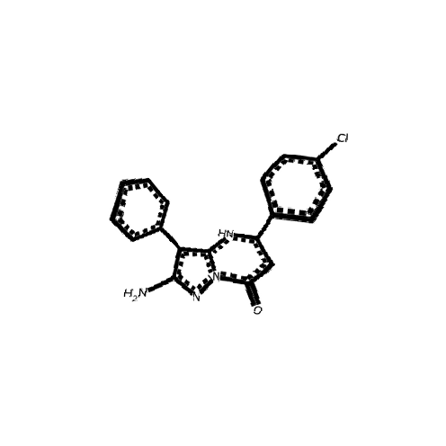 Nc1nn2c(=O)cc(-c3ccc(Cl)cc3)[nH]c2c1-c1ccccc1